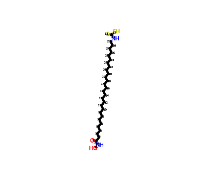 O=C(CCCCCCCCCCCCCCCCCCCCCCCCCCCCNC(=S)S)NO